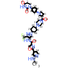 O=C1CCN(c2ccc(N3CC[C@@H](C(=O)N4CCN(C5CCC(n6cc(NC(=O)c7coc(-c8ccnc(NCC(F)(F)F)c8)n7)c(C(F)F)n6)CC5)CC4)C3)cc2)C(=O)N1